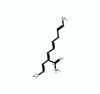 CC=CCC=CC=C(C=CC)C(N)=O